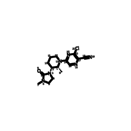 C[C@@H]1[C@H](N2CCN(C)C2=O)CCCN1c1cnc(C#N)c(Cl)n1